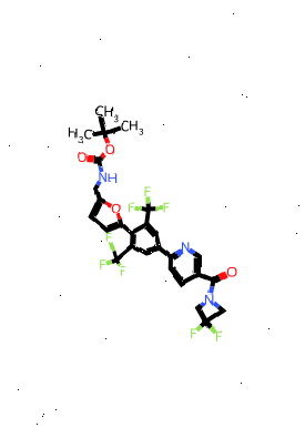 CC(C)(C)OC(=O)NCc1ccc(-c2c(C(F)(F)F)cc(-c3ccc(C(=O)N4CC(F)(F)C4)cn3)cc2C(F)(F)F)o1